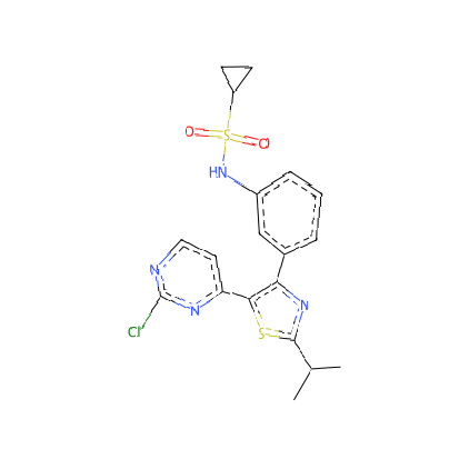 CC(C)c1nc(-c2cccc(NS(=O)(=O)C3CC3)c2)c(-c2ccnc(Cl)n2)s1